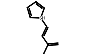 C=C(C)C=C[SH]1C=CC=C1